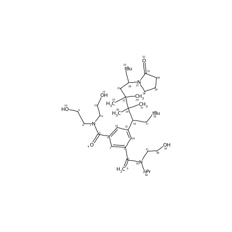 C=C(c1cc(C(=O)N(CCO)CCO)cc(C(CC(C)(C)C)C(C)(C)C(C)(C)CC(N2CCCC2=O)C(C)(C)C)c1)N(CCC)CCO